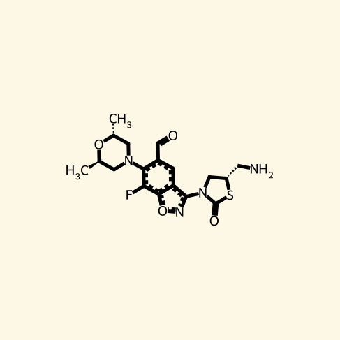 C[C@@H]1CN(c2c(C=O)cc3c(N4C[C@H](CN)SC4=O)noc3c2F)C[C@@H](C)O1